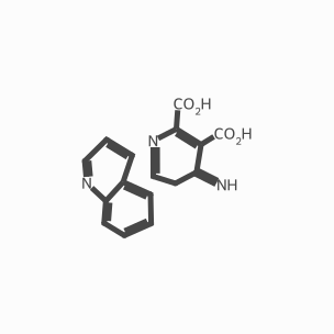 N=C1CC=NC(C(=O)O)=C1C(=O)O.c1ccc2ncccc2c1